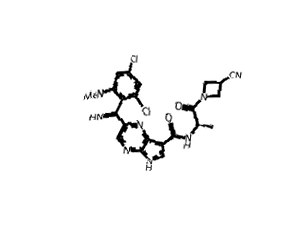 CNc1cc(Cl)cc(Cl)c1C(=N)c1cnc2[nH]cc(C(=O)N[C@H](C)C(=O)N3CC(C#N)C3)c2n1